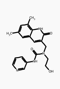 Cc1cc(C)c2[nH]c(=O)c(CN(CCO)C(=O)Nc3cccnc3)cc2c1